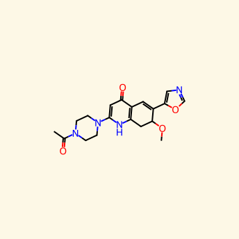 COC1Cc2[nH]c(N3CCN(C(C)=O)CC3)cc(=O)c2C=C1c1cnco1